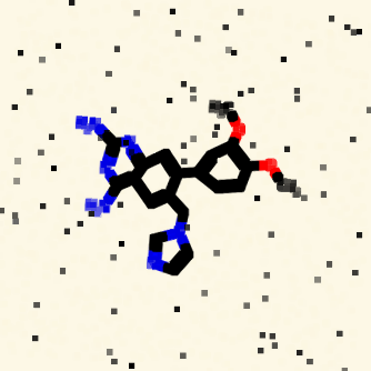 COc1ccc(-c2cc3nc(N)nc(N)c3cc2Cn2ccnc2)cc1OC